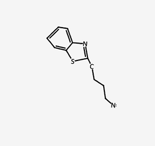 [N]CCCCc1nc2ccccc2s1